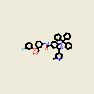 Cc1cc(-c2nn(C(c3ccccc3)(c3ccccc3)c3ccccc3)c3ccc(C(=O)NC4CCCC(CO)(Oc5cccc(F)c5)C4)cc23)ccn1